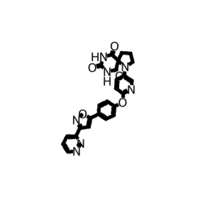 O=C1NC(=O)C2(CCCN2c2ccc(Oc3ccc(-c4cc(-c5cccnn5)no4)cc3)nc2)C(=O)N1